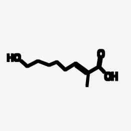 C/C(=C\CCCCCO)C(=O)O